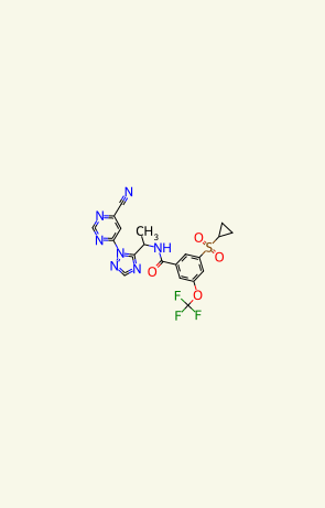 CC(NC(=O)c1cc(OC(F)(F)F)cc(S(=O)(=O)C2CC2)c1)c1ncnn1-c1cc(C#N)ncn1